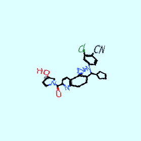 N#Cc1ccc(N2N=C3c4ccc(C(=O)N5CC[C@@H](O)C5)nc4CCC3C2C2CCCC2)cc1Cl